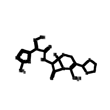 Nc1nc(/C(=N/O)C(=O)NC2C(=O)N3C(C(=O)O)=C(C4SCCS4)CS[C@@H]23)cs1